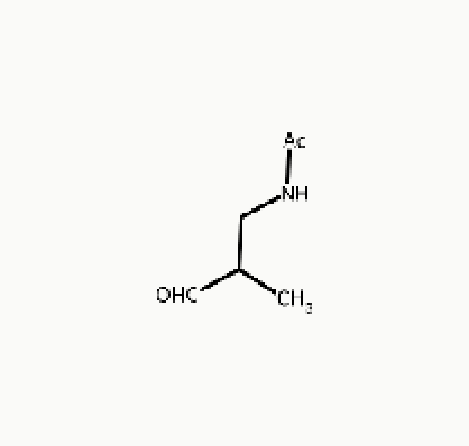 CC(=O)NCC(C)C=O